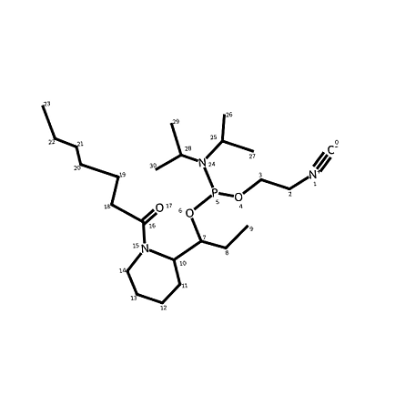 [C-]#[N+]CCOP(OC(CC)C1CCCCN1C(=O)CCCCCC)N(C(C)C)C(C)C